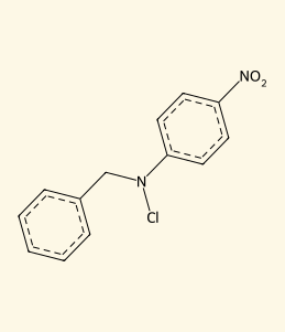 O=[N+]([O-])c1ccc(N(Cl)Cc2ccccc2)cc1